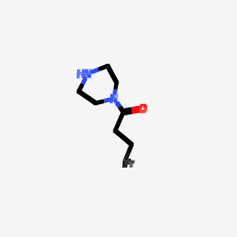 CC(C)CCC(=O)N1CCNCC1